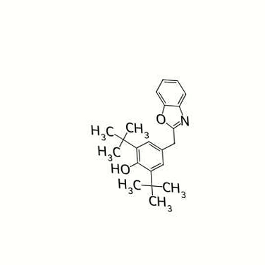 CC(C)(C)c1cc(Cc2nc3ccccc3o2)cc(C(C)(C)C)c1O